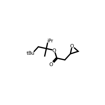 CC(C)C(C)(CC(C)(C)C)OC(=O)CC1CO1